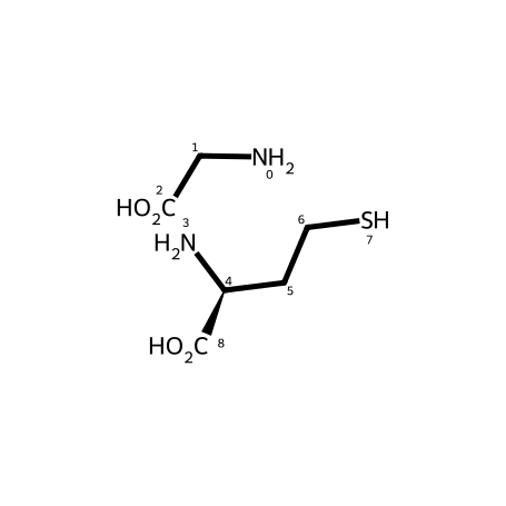 NCC(=O)O.N[C@@H](CCS)C(=O)O